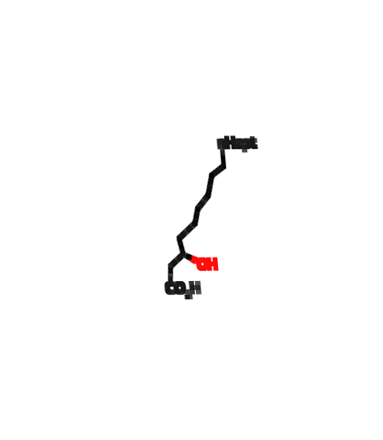 CCCCCCCCCCCCC[C@@H](O)CC(=O)O